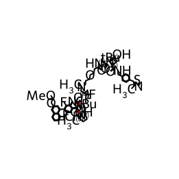 C#Cc1cccc2cc(OCOC)cc(-c3c(F)cc4c(N5C[C@H]6CC[C@@](C)(C5)N6C(=O)OC(C)(C)C)nc(OC[C@]5(CN(C)CCCOCCC(=O)N[C@H](C(=O)N6C[C@H](O)C[C@H]6C(=O)NCc6ccc(-c7scnc7C)cc6)C(C)(C)C)CC5(F)F)nc4c3F)c12